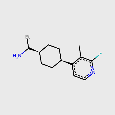 CCC(N)[C@H]1CC[C@@H](c2ccnc(F)c2C)CC1